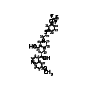 COc1ccc2nccc(C(O)CC[C@@H]3CCN(CCSc4cccc(OC(F)(F)F)c4)C[C@@H]3CO)c2c1